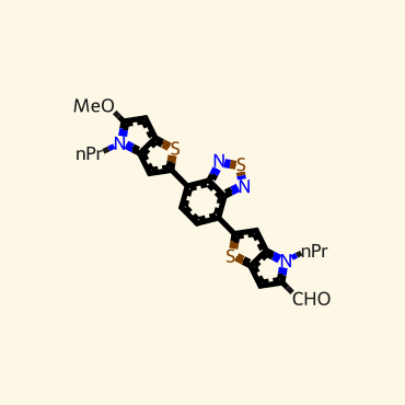 CCCn1c(C=O)cc2sc(-c3ccc(-c4cc5c(cc(OC)n5CCC)s4)c4nsnc34)cc21